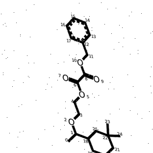 CC(OCCOC(=O)C(=O)OCc1ccccc1)C1CCCC(C)(C)C1